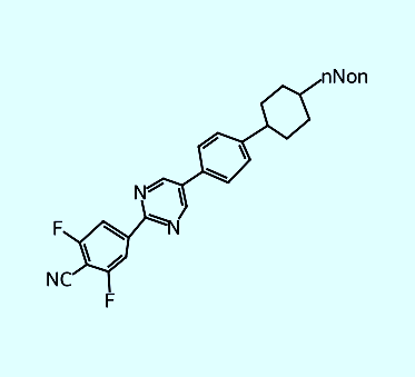 CCCCCCCCCC1CCC(c2ccc(-c3cnc(-c4cc(F)c(C#N)c(F)c4)nc3)cc2)CC1